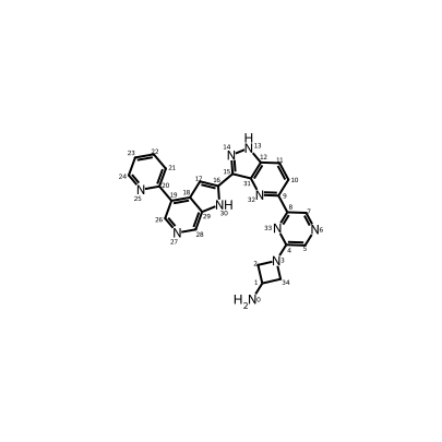 NC1CN(c2cncc(-c3ccc4[nH]nc(-c5cc6c(-c7ccccn7)cncc6[nH]5)c4n3)n2)C1